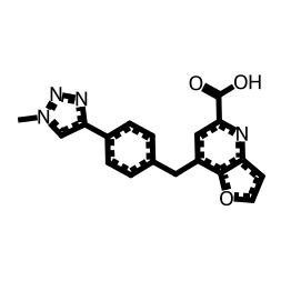 Cn1cc(-c2ccc(Cc3cc(C(=O)O)nc4ccoc34)cc2)nn1